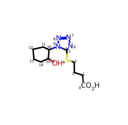 O=C(O)CCCSc1nnnn1C1CCCCC1O